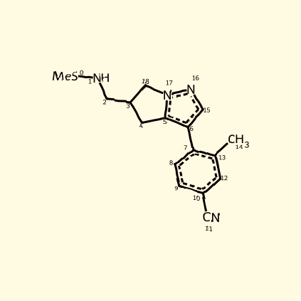 CSNCC1Cc2c(-c3ccc(C#N)cc3C)cnn2C1